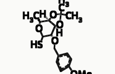 COc1ccc(CO[C@@H]2C(S)O[C@@H](C)[C@H]3OC(C)(C)O[C@H]32)cc1